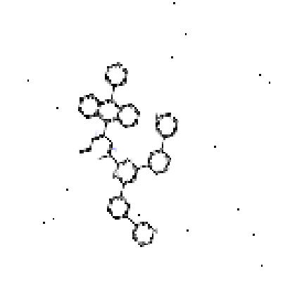 C=C/C=C(\C=C(/C)c1nc(-c2cccc(-c3cccnc3)c2)cc(-c2cccc(-c3cccnc3)c2)n1)c1c2ccccc2c(-c2ccccc2)c2ccccc12